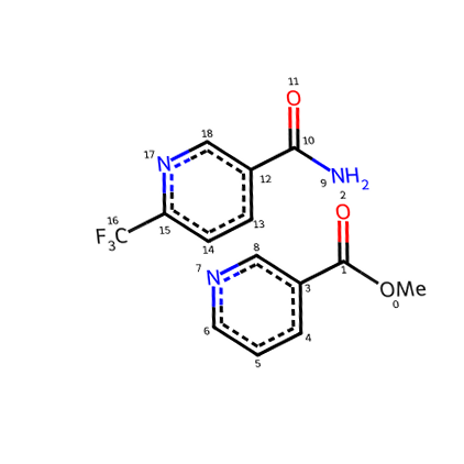 COC(=O)c1cccnc1.NC(=O)c1ccc(C(F)(F)F)nc1